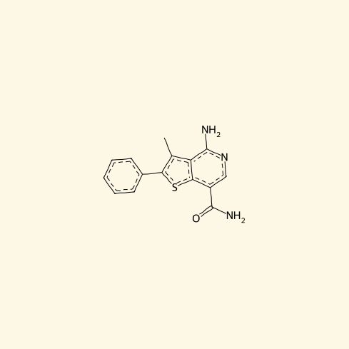 Cc1c(-c2ccccc2)sc2c(C(N)=O)cnc(N)c12